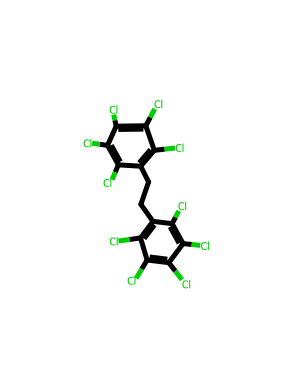 Clc1c(Cl)c(Cl)c(CCc2c(Cl)c(Cl)c(Cl)c(Cl)c2Cl)c(Cl)c1Cl